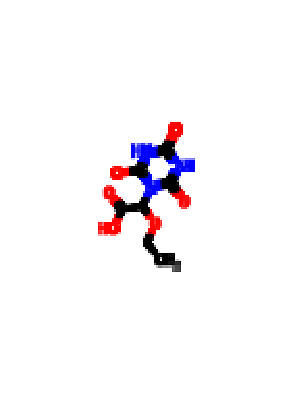 CCOC(C(=O)O)n1c(=O)[nH]c(=O)[nH]c1=O